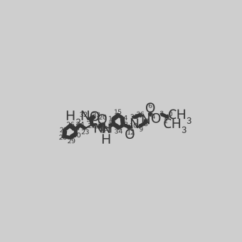 CC(C)COC(=O)N1CCN(C(=O)c2cccc(NC(=O)N[C@@H](CCc3ccccc3)C(N)=O)c2)CC1